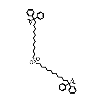 CN(C)C(CCCCCCCCCCCCS(=O)(=O)CCCCCCCCCCCCC(c1ccccc1)(c1ccccc1)N(C)C)(c1ccccc1)c1ccccc1